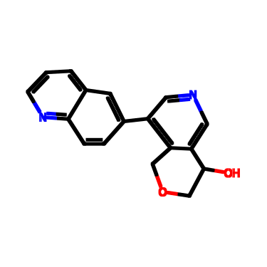 OC1COCc2c(-c3ccc4ncccc4c3)cncc21